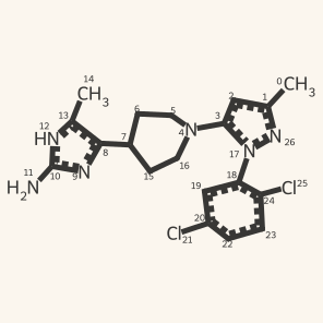 Cc1cc(N2CCC(c3nc(N)[nH]c3C)CC2)n(-c2cc(Cl)ccc2Cl)n1